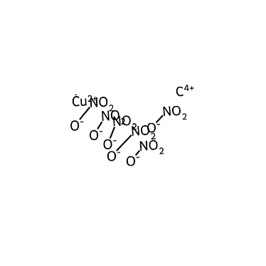 O=[N+]([O-])[O-].O=[N+]([O-])[O-].O=[N+]([O-])[O-].O=[N+]([O-])[O-].O=[N+]([O-])[O-].O=[N+]([O-])[O-].[C+4].[Cu+2]